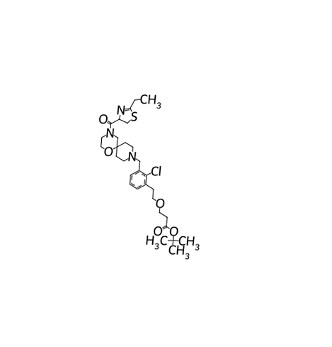 CCC1=NC(C(=O)N2CCOC3(CCN(Cc4cccc(CCOCCC(=O)OC(C)(C)C)c4Cl)CC3)C2)CS1